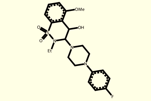 CCN1C(N2CCN(c3ccc(F)cc3)CC2)C(O)c2c(OC)cccc2S1(=O)=O